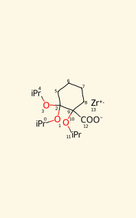 CC(C)OC1(OC(C)C)CCCCC1(OC(C)C)C(=O)[O-].[Zr+]